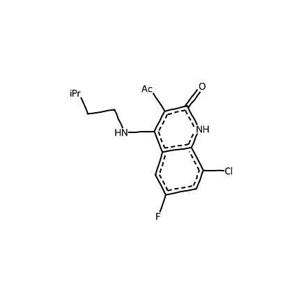 CC(=O)c1c(NCCC(C)C)c2cc(F)cc(Cl)c2[nH]c1=O